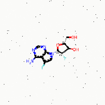 Nc1ncnc2c1c(F)cn2[C@@H]1O[C@H](CO)C(O)[C@@H]1F